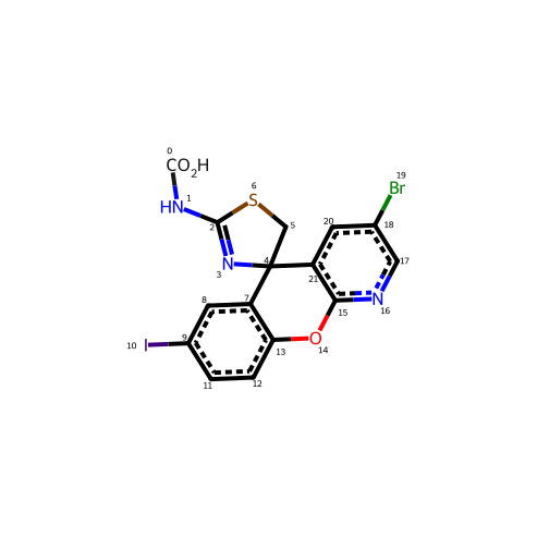 O=C(O)NC1=NC2(CS1)c1cc(I)ccc1Oc1ncc(Br)cc12